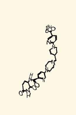 CC(C)(C)OC(=O)c1ccc(N2CCC(CN3CCN(c4ccc(C(=O)NC5CCC(=O)NC5=O)nc4)CC3)CC2)nc1